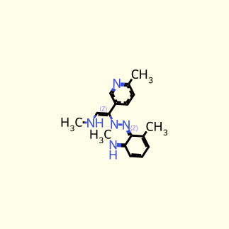 CN/C=C(/c1ccc(C)nc1)N(C)/N=C1\C(=N)C=CC=C1C